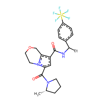 CCC(NC(=O)c1cc(C(=O)N2CCC[C@@H]2C)n2c1COCC2)c1ccc(S(F)(F)(F)(F)F)cc1